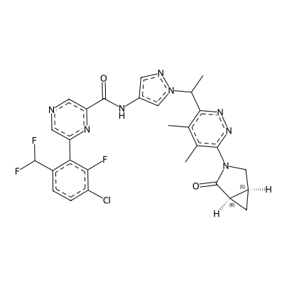 Cc1c(C(C)n2cc(NC(=O)c3cncc(-c4c(C(F)F)ccc(Cl)c4F)n3)cn2)nnc(N2C[C@H]3C[C@H]3C2=O)c1C